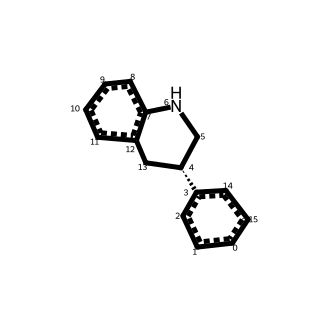 c1ccc([C@H]2CNc3ccccc3C2)cc1